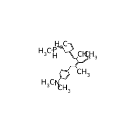 C/C=C\C(=C/C(C)C(/C=C\C)=C(/C)Cc1ccc(N(C)C)cc1)C/C=C\PC